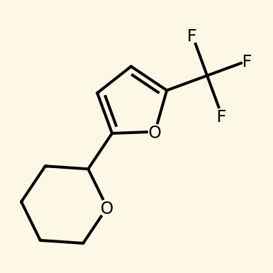 FC(F)(F)c1ccc(C2CCCCO2)o1